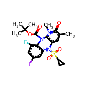 Cc1cc(NS(=O)(=O)C2CC2)c(N(C(=O)OC(C)(C)C)c2ccc(I)cc2F)n(C)c1=O